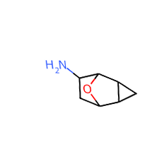 NC1CC2OC1C1CC21